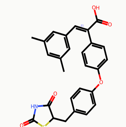 Cc1cc(C)cc(/C=C(/C(=O)O)c2ccc(Oc3ccc(CC4SC(=O)NC4=O)cc3)cc2)c1